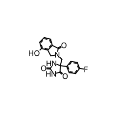 O=C1NC(=O)C(CN2Cc3c(O)cccc3C2=O)(c2ccc(F)cc2)N1